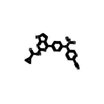 N#Cc1ccc(N(c2ccc(-c3nc(NC(=O)C4CC4)nc4[nH]ccc34)cc2)[SH](=O)=O)cn1